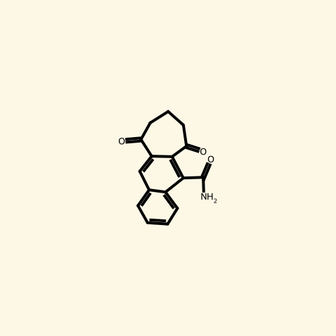 NC(=O)c1c2c(cc3ccccc13)C(=O)CCCC2=O